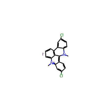 CN1c2ccc(Cl)cc2-c2cccc3c2c1c1ccc(Cl)cc1[n+]3C.[I-]